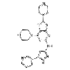 c1cncc(-c2cc(Nc3nc(N4CCOCC4)c4oc(-c5ccncc5)cc4n3)n[nH]2)c1